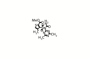 COC(=O)c1scc(C)c1S(=O)(=O)N(C(N)=O)c1nc(C)nc(C)n1